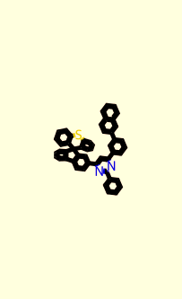 c1ccc(-c2nc(-c3cccc(-c4ccc5ccccc5c4)c3)cc(-c3ccc4c(c3)C3(c5ccccc5Sc5ccccc53)c3ccccc3-4)n2)cc1